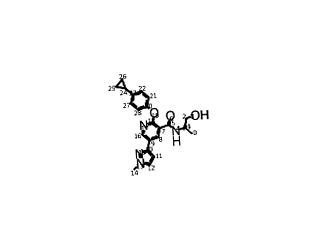 C[C@H](CO)NC(=O)c1cc(-c2ccn(C)n2)cnc1Oc1ccc(C2CC2)cc1